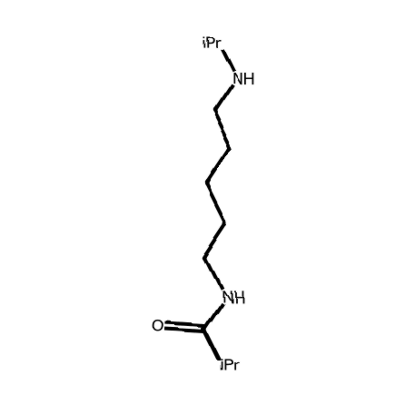 CC(C)NCCCCCNC(=O)C(C)C